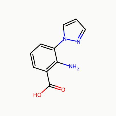 Nc1c(C(=O)O)cccc1-n1cccn1